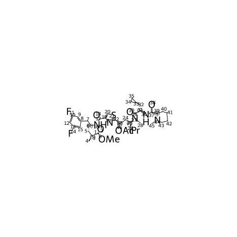 COC(=O)[C@@H](C)C[C@H](Cc1cc(F)cc(F)c1)NC(=O)c1csc([C@@H](C[C@H](C(C)C)N(C)C(=O)[C@H](CC2CC2)NC(=O)[C@H]2CCCCN2C)OC(C)=O)n1